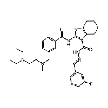 CCN(CC)CCN(C)Cc1cccc(C(=O)Nc2sc3c(c2C(=O)NN=Cc2cccc(F)c2)CCCC3)c1